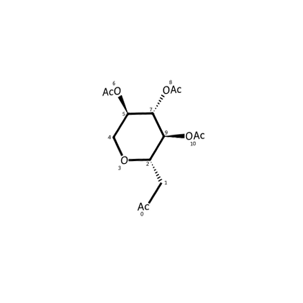 CC(=O)C[C@@H]1OC[C@@H](OC(C)=O)[C@H](OC(C)=O)[C@H]1OC(C)=O